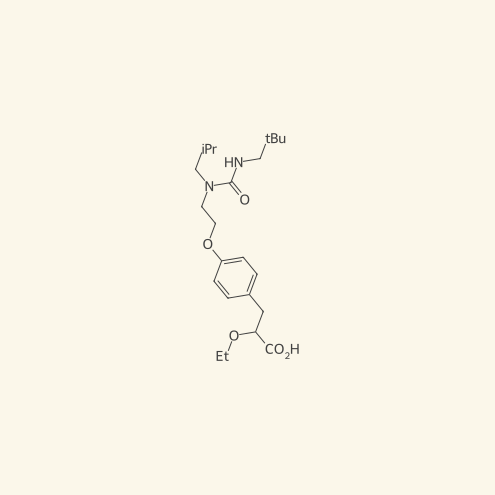 CCOC(Cc1ccc(OCCN(CC(C)C)C(=O)NCC(C)(C)C)cc1)C(=O)O